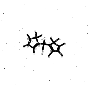 CC1=C(C)C(C)(C)C([C](Cl)([Ti])C2=C(C)C(C)=C(C)C2(C)C)=C1C